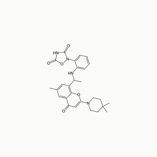 Cc1cc(C(C)Nc2ccccc2-n2oc(=O)[nH]c2=O)c2oc(N3CCC(C)(C)CC3)cc(=O)c2c1